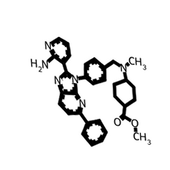 COC(=O)C1CCC(N(C)Cc2ccc(-n3c(-c4cccnc4N)nc4ccc(-c5ccccc5)nc43)cc2)CC1